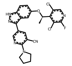 C[C@@H](Oc1ccc2[nH]nc(-c3cnc(N4CCCC4)c(C#N)c3)c2c1)c1c(Cl)cnc(F)c1Cl